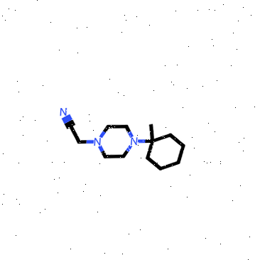 CC1(N2CCN(CC#N)CC2)CCCCC1